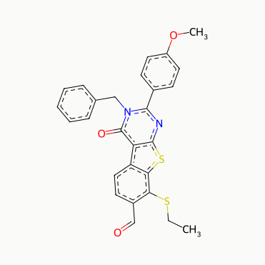 CCSc1c(C=O)ccc2c1sc1nc(-c3ccc(OC)cc3)n(Cc3ccccc3)c(=O)c12